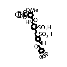 COc1ccc(C(=O)Nc2ccc(CCc3ccc(NC(=O)c4ccc(S(C)(=O)=O)cc4)cc3S(=O)(=O)O)c(S(=O)(=O)O)c2)cc1S(=O)(=O)N1CCOCC1